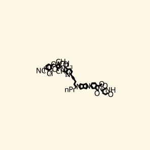 CCCC(CCC#Cc1ccc2c(n1)CN([C@H]1C(C)(C)[C@H](Oc3ccc(C#N)c(Cl)c3)C1(C)C)C2=O)N1CC2CN(c3ccc4c(c3)C(=O)N(C3CCC(=O)NC3=O)C4=O)CC2C1